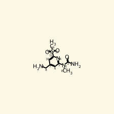 CN(C(N)=O)c1cc(CN)cc(S(C)(=O)=O)n1